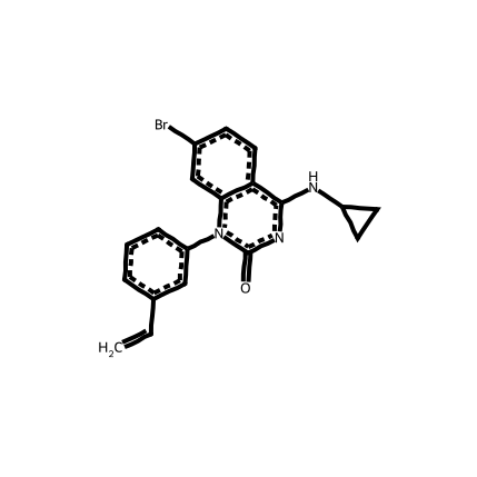 C=Cc1cccc(-n2c(=O)nc(NC3CC3)c3ccc(Br)cc32)c1